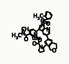 Cc1ccccc1S(=O)(=O)n1cc(-c2ccc(C(=O)N(C)C)cn2)c2cc(-c3cc4c(c(C5CCCN5C(=O)OC(C)(C)C)c3)COCC4)cnc21